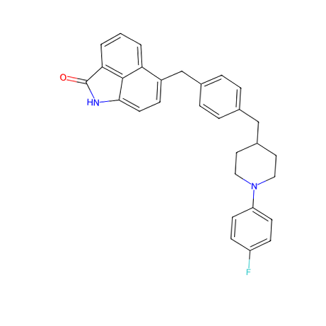 O=C1Nc2ccc(Cc3ccc(CC4CCN(c5ccc(F)cc5)CC4)cc3)c3cccc1c23